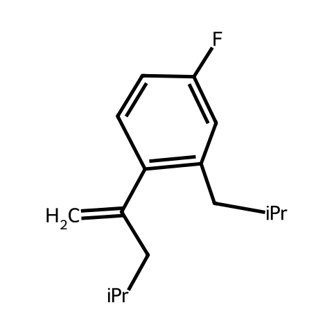 C=C(CC(C)C)c1ccc(F)cc1CC(C)C